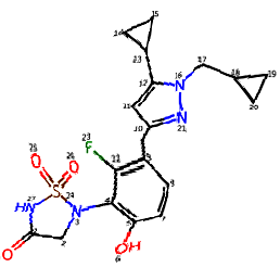 O=C1CN(c2c(O)ccc(-c3cc(C4CC4)n(CC4CC4)n3)c2F)S(=O)(=O)N1